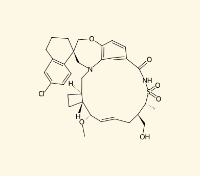 CO[C@H]1/C=C/C[C@H](CO)[C@@H](C)S(=O)(=O)NC(=O)c2ccc3c(c2)N(C[C@@H]2CC[C@H]21)C[C@@]1(CCCc2cc(Cl)ccc21)CO3